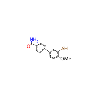 COc1ccc(-c2ccc(C(N)=O)cc2)cc1S